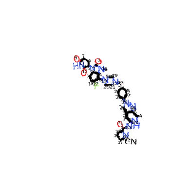 Cn1c(=O)n(C2CCC(=O)NC2=O)c2ccc(F)c(N3CCN(C[C@H]4CC[C@H](n5cc6cc(NC(=O)c7cccc(C#N)n7)ncc6n5)CC4)CC3)c21